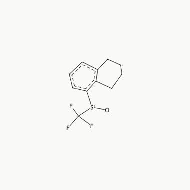 [O-][S+](c1cccc2c1CC[CH]C2)C(F)(F)F